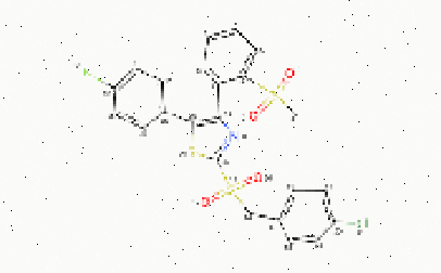 CS(=O)(=O)c1ccccc1-c1nc(S(=O)(=O)Cc2ccc(Cl)cc2)sc1-c1ccc(F)cc1